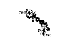 COC(=O)N[C@H](C(=O)N1CCCC1c1[nH]c(-c2ccc(-c3ccc(-c4cnc([C@@H]5CCCN5C(=O)[C@@H](NC(=O)OC)C(C)C)[nH]4)cc3)cc2)c2c1COC2)C(C)C